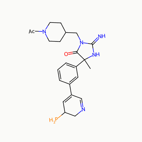 CC(=O)N1CCC(CN2C(=N)NC(C)(c3cccc(C4=CC(P)CN=C4)c3)C2=O)CC1